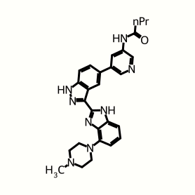 CCCC(=O)Nc1cncc(-c2ccc3[nH]nc(-c4nc5c(N6CCN(C)CC6)cccc5[nH]4)c3c2)c1